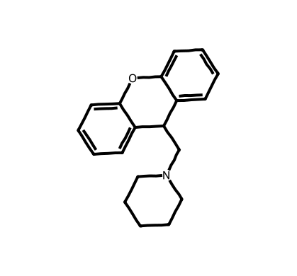 c1ccc2c(c1)Oc1ccccc1C2CN1CCCCC1